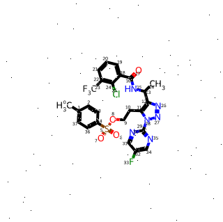 Cc1ccc(S(=O)(=O)OCCc2c(C(C)NC(=O)c3cccc(C(F)(F)F)c3Cl)nnn2-c2ncc(F)cn2)cc1